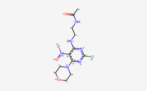 CC(=O)NCCNc1nc(Cl)nc(N2CCOCC2)c1[N+](=O)[O-]